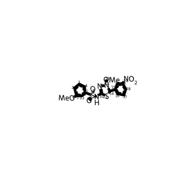 COc1cccc(S(=O)(=O)NC2=NN(OC)C(c3cccc([N+](=O)[O-])c3)S2)c1